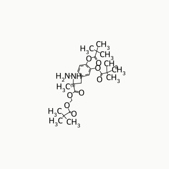 CC(C)(C)C(=O)OCOC(=O)[C@](C)(Cc1ccc(OC(=O)C(C)(C)C)c(OC(=O)C(C)(C)C)c1)NN